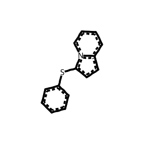 c1ccc(Sc2ccc3ccccn23)cc1